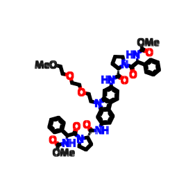 COCCOCCOCCn1c2cc(NC(=O)[C@@H]3CCCN3C(=O)[C@H](NC(=O)OC)c3ccccc3)ccc2c2ccc(NC(=O)[C@@H]3CCCN3C(=O)[C@H](NC(=O)OC)c3ccccc3)cc21